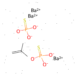 C=C(C)C.[Ba+2].[Ba+2].[Ba+2].[O-]P([O-])([O-])=S.[O-]P([O-])([O-])=S